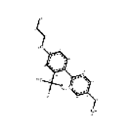 CCCOc1ccc(-c2ncc(CO)cn2)c(C(F)(F)F)c1